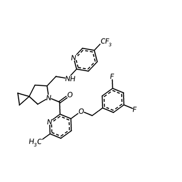 Cc1ccc(OCc2cc(F)cc(F)c2)c(C(=O)N2CC3(CC3)CC2CNc2ccc(C(F)(F)F)cn2)n1